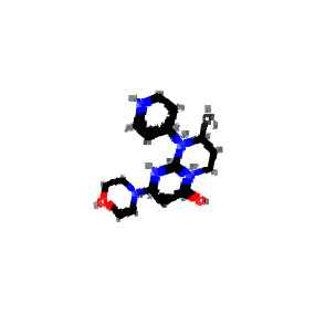 O=c1cc(N2CCOCC2)nc2n1CCC(C(F)(F)F)N2c1ccncc1